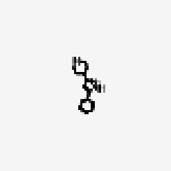 Cl.c1ccc(-c2cc(C3CCNCC3)n[nH]2)cc1